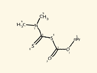 CCCOC(=O)SC(=S)N(C)C